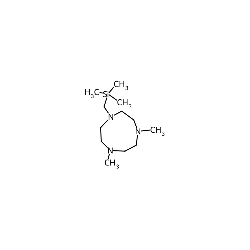 CN1CCN(C)CCN(C[Si](C)(C)C)CC1